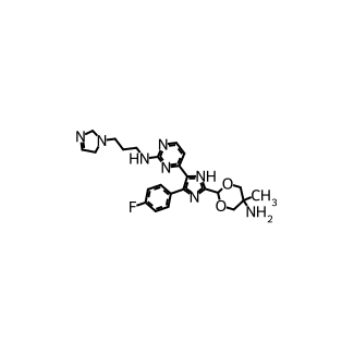 CC1(N)COC(c2nc(-c3ccc(F)cc3)c(-c3ccnc(NCCCN4CC=NC4)n3)[nH]2)OC1